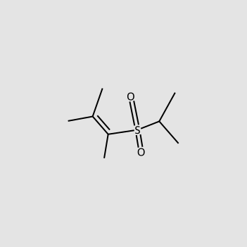 CC(C)=C(C)S(=O)(=O)C(C)C